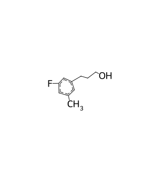 Cc1cc(F)cc(CCCO)c1